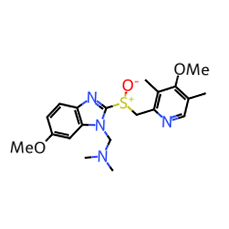 COc1ccc2nc([S+]([O-])Cc3ncc(C)c(OC)c3C)n(CN(C)C)c2c1